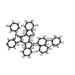 c1ccc(-n2c3ccccc3c3c4c5ccccc5n(-c5ccc6c7c(cccc57)-c5ccccc5-6)c4c4sc5ccccc5c4c32)cc1